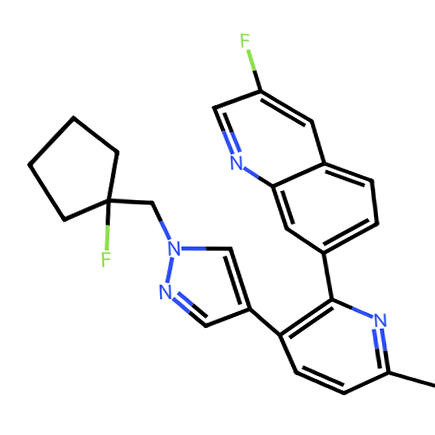 Cc1ccc(-c2cnn(CC3(F)CCCC3)c2)c(-c2ccc3cc(F)cnc3c2)n1